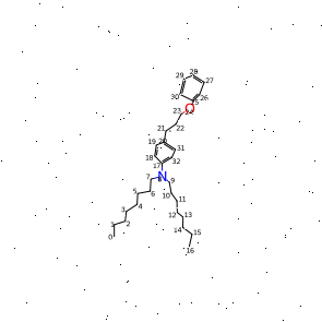 CCCCCCCCN(CCCCCCCC)c1ccc([CH]CCOc2ccccc2)cc1